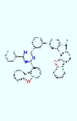 CC1(C)c2ccc(-c3cccc(-c4nc(-c5ccccc5)nc(-c5cccc6oc7ccccc7c56)n4)c3)cc2-c2c1ccc1c2oc2ccccc21